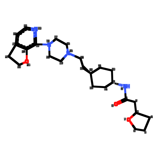 O=C(CC1CCCO1)N[C@H]1CC[C@H](CCN2CCN(c3nccc4c3OCC4)CC2)CC1